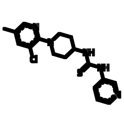 Cc1cnc(N2CCC(NC(=S)Nc3cccnc3)CC2)c(Cl)c1